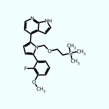 COc1cccc(-c2ccc(-c3ccnc4[nH]ccc34)n2COCC[Si](C)(C)C)c1F